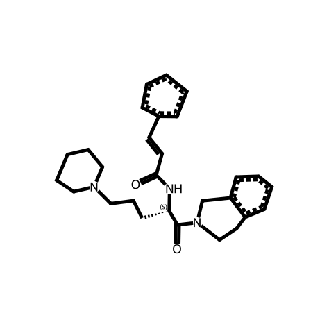 O=C(C=Cc1ccccc1)N[C@@H](CCCN1CCCCC1)C(=O)N1CCc2ccccc2C1